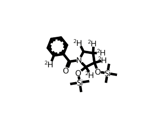 [2H]c1ccccc1C(=O)N1C([2H])C([2H])([2H])C([2H])(O[Si](C)(C)C)C1([2H])O[Si](C)(C)C